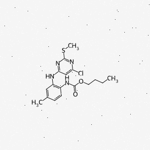 CCCCOC(=O)Nc1ccc(C)cc1Nc1cc(Cl)nc(SC)n1